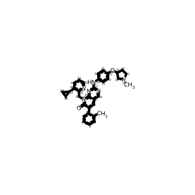 Cc1ccccc1-c1cc2cnc(Nc3ccc(OC4CCN(C)C4)cc3)nc2n(Cc2ncccc2C2CC2)c1=O